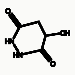 O=C1CC(O)C(=O)NN1